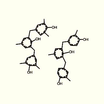 Cc1cc(Cc2cc(C)c(O)c(C)c2)c(O)c(Cc2cc(C)c(O)c(C)c2)c1.Cc1cc(Cc2ccc(O)c(C)c2)c(O)c(Cc2ccc(O)c(C)c2)c1